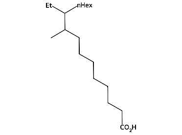 CCCCCCC(CC)C(C)CCCCCCCC(=O)O